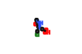 O=C(NN1CCCCC1)C1=NN(c2ccc(C(=O)O)cc2)C(c2ccc(Cl)cc2)C1